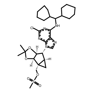 CC1(C)O[C@H]2[C@H](n3cnc4c(NC(C5CCCCC5)C5CCCCC5)nc(Cl)nc43)[C@H]3C[C@@]3(COS(C)(=O)=O)[C@H]2O1